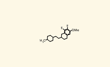 COc1cc2c(c(F)c1F)CC(CCC1CCC(C)CC1)CC2